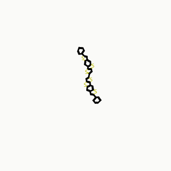 c1ccc(-c2cc3cc4sc5cc(-c6cc7sc8cc9cc(-c%10ccccc%10)sc9cc8c7s6)sc5c4cc3s2)cc1